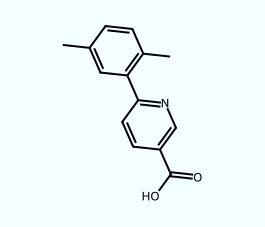 Cc1ccc(C)c(-c2ccc(C(=O)O)cn2)c1